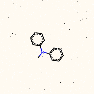 CN(c1c[c]ccc1)c1ccccc1